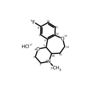 CN1CCOC2c3cc(F)ccc3OCCC21.Cl